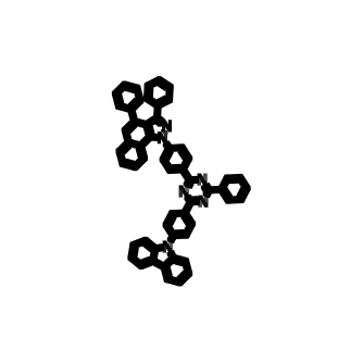 c1ccc(-c2nc(-c3ccc(-n4nc(-c5ccccc5)c5c(-c6ccccc6)cc6ccccc6c54)cc3)nc(-c3ccc(-n4c5ccccc5c5ccccc54)cc3)n2)cc1